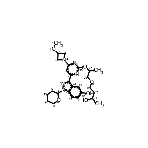 COC1CN(c2cc(-c3nn(C4CCCCO4)c4ccc(O)cc34)nc(OC(C)COCCC(C)O)n2)C1